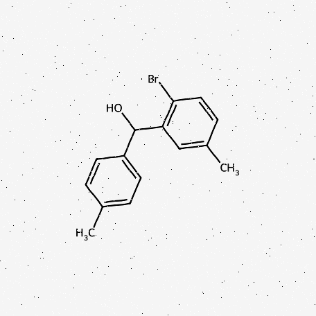 Cc1ccc(C(O)c2cc(C)ccc2Br)cc1